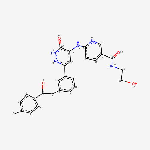 Cc1ccc(C(=O)Cc2cccc(-c3cc(Nc4ccc(C(=O)NCCO)cn4)c(=O)[nH]n3)c2)cc1